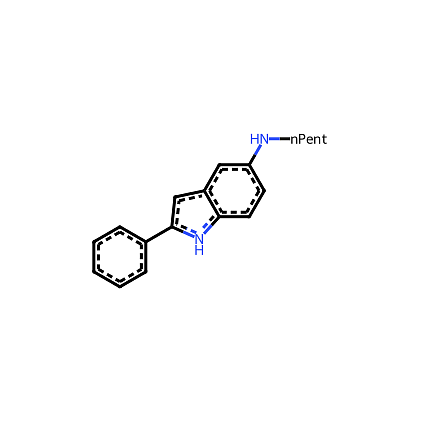 CCCCCNc1ccc2[nH]c(-c3ccccc3)cc2c1